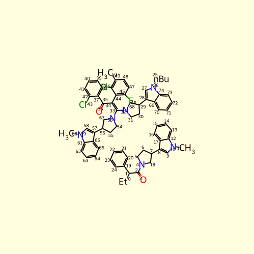 CCC(C(=O)N1CCC(c2cn(C)c3ccccc23)C1)c1ccccc1.CCCCn1cc(C2CCN(C(=C(C(=O)c3ccccc3Cl)c3c(F)ccc(C)c3Cl)N3CCC(c4cn(C)c5ccccc45)C3)C2)c2ccccc21